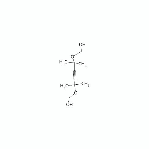 CC(C)(C#CC(C)(C)OCO)OCO